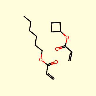 C=CC(=O)OC1CCC1.C=CC(=O)OCCCCCC